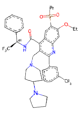 CCOc1cc2nc(-c3cccc(C(F)(F)F)c3)c(CN3CCC(N4CCCC4)CC3)c(C(=O)N[C@H](c3ccccc3)C(F)(F)F)c2cc1S(=O)(=O)C(C)C